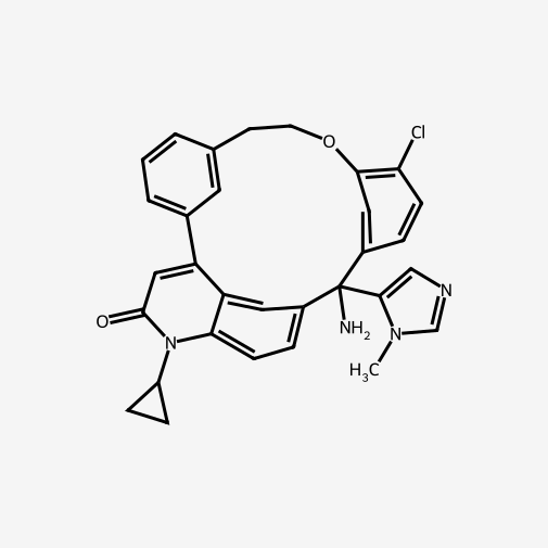 Cn1cncc1C1(N)c2ccc(Cl)c(c2)OCCc2cccc(c2)-c2cc(=O)n(C3CC3)c3ccc1cc23